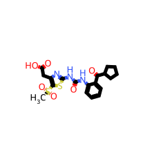 CS(=O)(=O)c1sc(NC(=O)Nc2ccccc2C(=O)C2CCCC2)nc1CC(=O)O